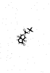 CC(C)(C)OC(=O)N1C[C@H]2CCC(=O)[C@H]2C1